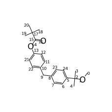 COC(C)(C)c1ccc(Cc2ccc(OC(=O)C(C)(C)C)cc2)cc1